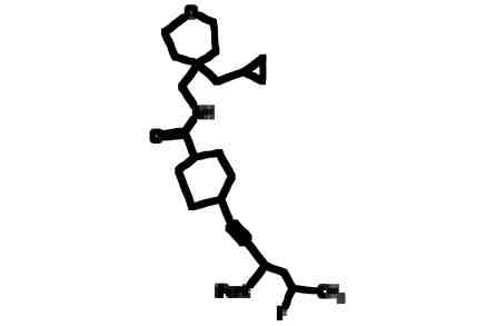 CCCC(C)C(C#CC1CCC(C(=O)NCC2(CC3CC3)CCOCC2)CC1)CC(C)F